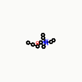 c1ccc(-c2ccc(-c3cccc4c3oc3cccc(-c5ccccc5-c5nc(-c6ccc7ccccc7c6)nc(-c6ccc7ccccc7c6)n5)c34)cc2)cc1